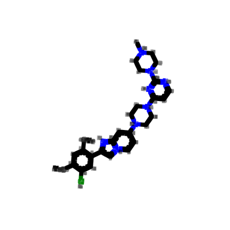 COc1cc(OC)c(-c2cn3ccc(N4CCN(c5ccnc(N6CCN(C)CC6)n5)CC4)cc3n2)cc1Cl